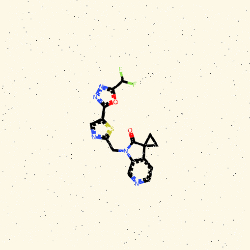 O=C1N(Cc2ncc(-c3nnc(C(F)F)o3)s2)c2cnccc2C12CC2